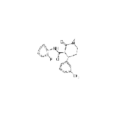 CN1CC[C@H](c2cccc(C(F)(F)F)c2)[C@@H](C(=O)Nc2ccccc2F)C1=O